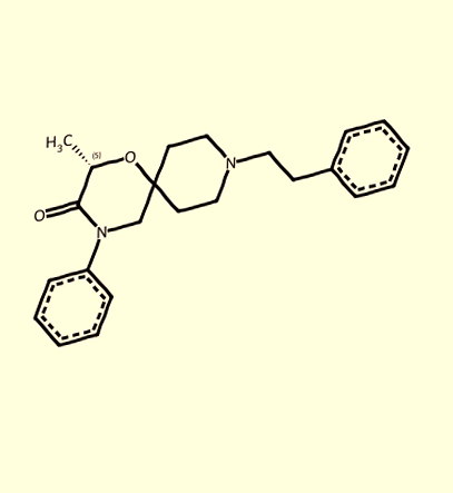 C[C@@H]1OC2(CCN(CCc3ccccc3)CC2)CN(c2ccccc2)C1=O